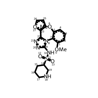 COc1cccc(OC)c1-n1c(NS(=O)(=O)C2CCCNC2)nnc1-c1ccco1